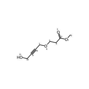 COC(=O)CCOCC#CCO